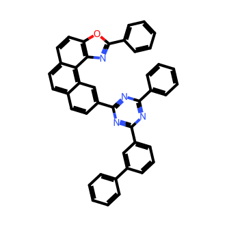 c1ccc(-c2cccc(-c3nc(-c4ccccc4)nc(-c4ccc5ccc6ccc7oc(-c8ccccc8)nc7c6c5c4)n3)c2)cc1